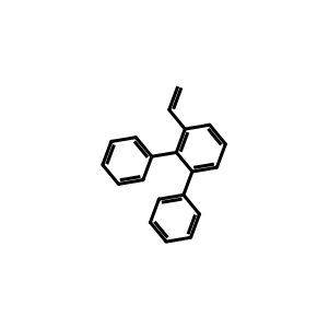 C=Cc1cccc(-c2ccccc2)c1-c1ccccc1